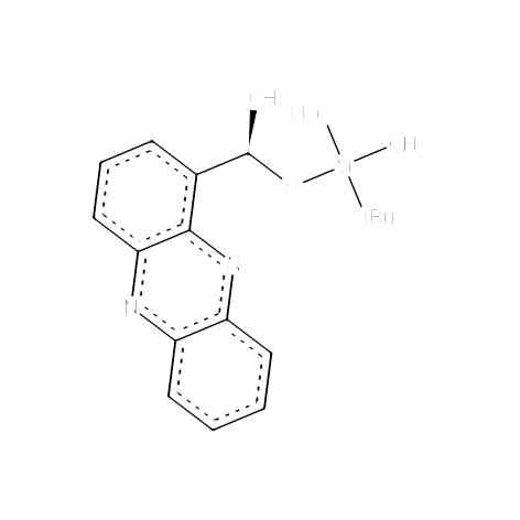 C[C@@H](O[Si](C)(C)C(C)(C)C)c1cccc2nc3ccccc3nc12